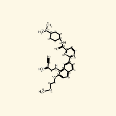 C=C(C#N)CNc1c(OCCOC)ccc2ccc(-c3nccc(C(=O)NC4CCC(N(C)C)CC4)n3)cc12